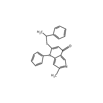 Cc1cc2c(cn1)c(=O)cc(SC(C)c1ccccc1)n2-c1ccccc1